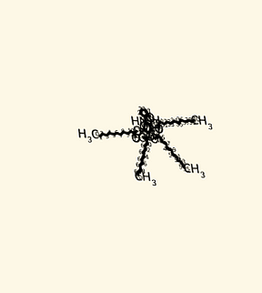 CCCCCCCCCCCC(=O)OC[C@H]1O[C@@](O)(NC2CCCC2=O)[C@H](OC(=O)CCCCCCCCCCC)[C@@H](OC(=O)CCCCCCCCCCC)[C@H]1OC(=O)CCCCCCCCCCC